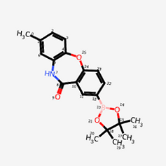 Cc1ccc2c(c1)NC(=O)c1cc(B3OC(C)(C)C(C)(C)O3)ccc1O2